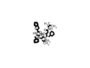 CC(C)CNC(=O)C[C@H](O)[C@H](CC1CCCCC1)NC(=O)[C@H](CC(C)C)NC(=O)[C@H](Cc1ccccc1)NC(=O)C1Cc2ccccc2S1